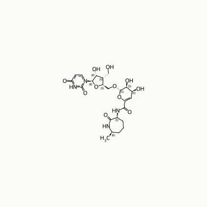 C[C@@H]1CCC[C@H](NC(=O)C2=C[C@H](O)[C@H](O)[C@@H](OC[C@H]3O[C@@H](n4ccc(=O)[nH]c4=O)[C@H](O)[C@@H]3CO)O2)C(=O)N1